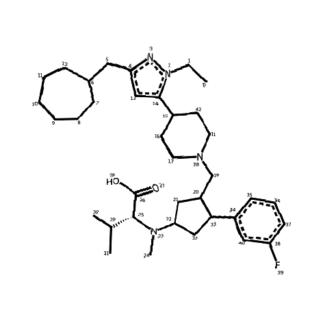 CCn1nc(CC2CCCCCC2)cc1C1CCN(CC2CC(N(C)[C@@H](C(=O)O)C(C)C)CC2c2cccc(F)c2)CC1